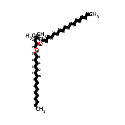 CCCCCCCCCCCCCCCCCCOCC(CC(C)(C)C)OCCCCCCCCCCCCCCCCCC